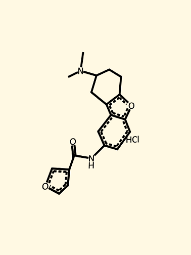 CN(C)C1CCc2oc3ccc(NC(=O)c4ccoc4)cc3c2C1.Cl